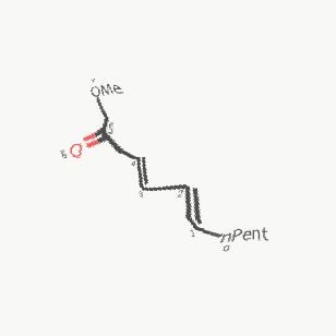 CCCCC/C=C/C=C/C(=O)OC